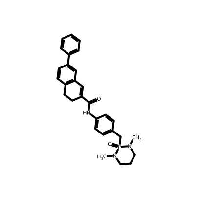 CN1CCCN(C)P1(=O)Cc1ccc(NC(=O)C2=Cc3cc(-c4ccccc4)ccc3CC2)cc1